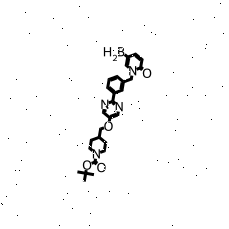 Bc1ccc(=O)n(Cc2cccc(-c3ncc(OCC4CCN(C(=O)OC(C)(C)C)CC4)cn3)c2)c1